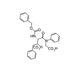 O=C(O)CN(C(=O)[C@@H](NC(=O)OCc1ccccc1)C(Cc1ccccc1)C(=O)O)c1ccccc1